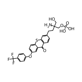 NC(CO)(CCc1ccc2c(=O)c3cc(Oc4ccc(C(F)(F)F)cc4)ccc3sc2c1)COP(=O)(O)O